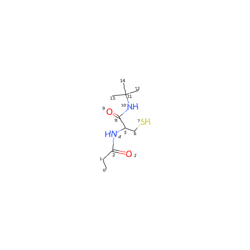 CCC(=O)NC(CS)C(=O)NC(C)(C)C